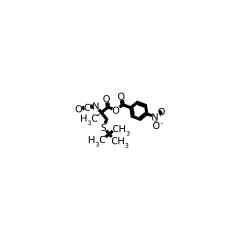 CC(C)(C)SC[C@@](C)(N=C=O)C(=O)OC(=O)c1ccc([N+](=O)[O-])cc1